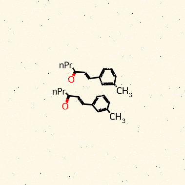 CCCC(=O)C=Cc1cccc(C)c1.CCCC(=O)C=Cc1cccc(C)c1